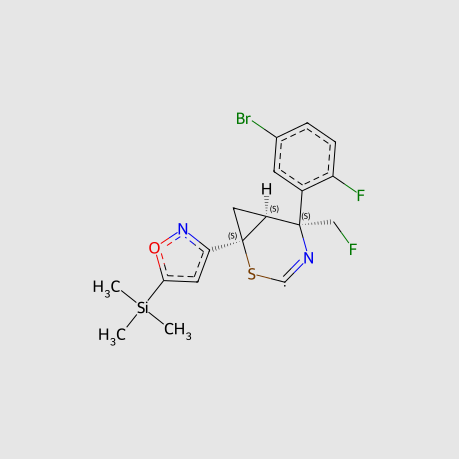 C[Si](C)(C)c1cc([C@]23C[C@H]2[C@@](CF)(c2cc(Br)ccc2F)N=[C]S3)no1